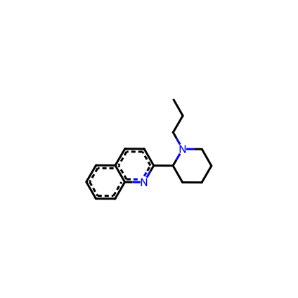 CCCN1CCCCC1c1ccc2ccccc2n1